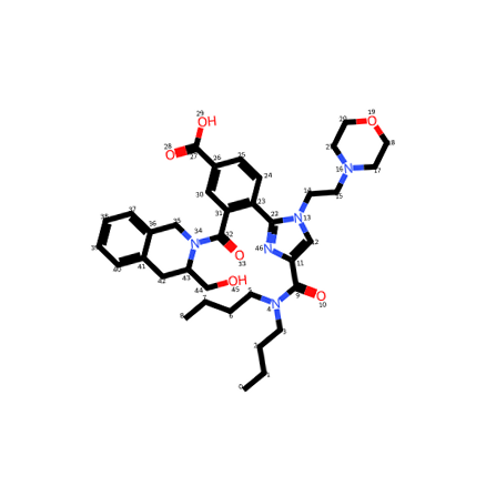 CCCCN(CCCC)C(=O)c1cn(CCN2CCOCC2)c(-c2ccc(C(=O)O)cc2C(=O)N2Cc3ccccc3CC2CO)n1